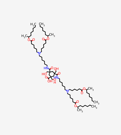 CCCCCCC(C)OC(=O)CCCCCN(CCCCCCNC(=O)C1(CO)CC(CO)(C(=O)O)CC(CO)(C(=O)NCCCCCCN(CCCCCC(=O)OC(C)CCCCCC)CCCCCC(=O)OC(C)CCCCCC)C1)CCCCCC(=O)OC(C)CCCCCC